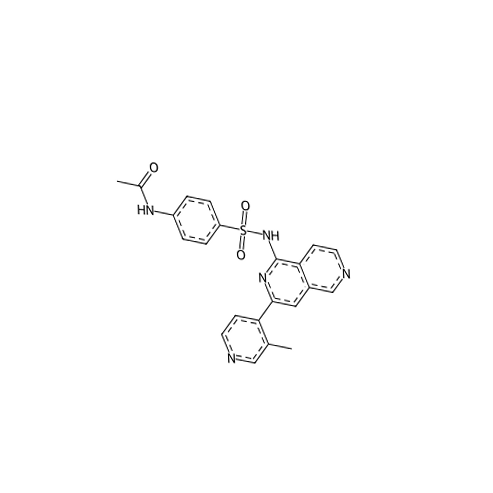 CC(=O)Nc1ccc(S(=O)(=O)Nc2nc(-c3ccncc3C)cc3cnccc23)cc1